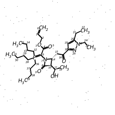 C=CCOC(=O)C(N1C(=O)[C@H]([C@@H](C)O)[C@H]1CC(=O)c1cc(CC)n(CC)n1)=P(CCCC)(CCCC)CCCC